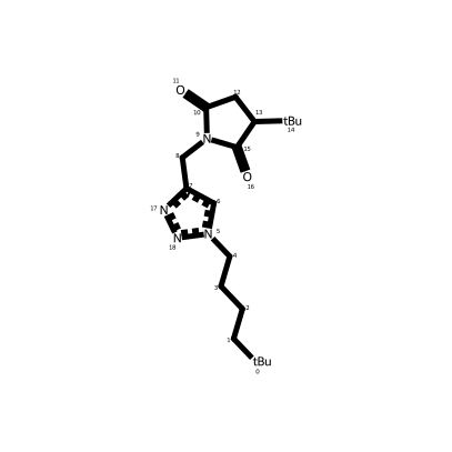 CC(C)(C)CCCCn1cc(CN2C(=O)CC(C(C)(C)C)C2=O)nn1